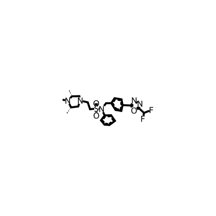 C[C@@H]1CN(CCS(=O)(=O)N(Cc2ccc(-c3nnc(C(F)F)o3)cc2)c2ccccc2)C[C@H](C)N1C